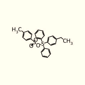 CCc1ccc(S(OS(=O)(=O)c2ccc(C)cc2)(c2ccccc2)c2ccccc2)cc1